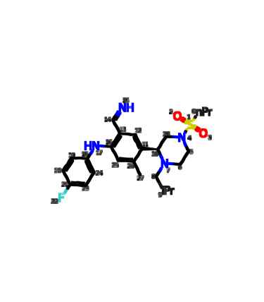 CCCS(=O)(=O)N1CCN(CC(C)C)[C@@H](c2cc(C=N)c(Nc3ccc(F)cc3)cc2C)C1